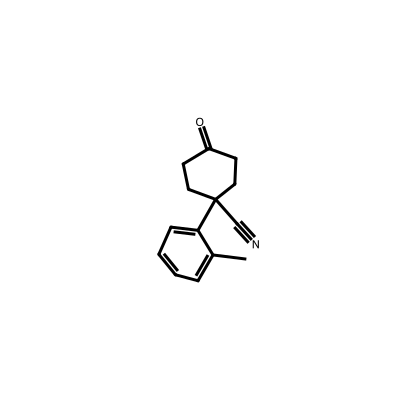 Cc1ccccc1C1(C#N)CCC(=O)CC1